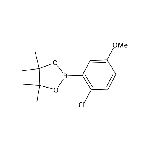 COc1ccc(Cl)c(B2OC(C)(C)C(C)(C)O2)c1